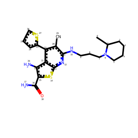 CC1CCCCN1CCCNc1nc2sc(C(N)=O)c(N)c2c(-c2cccs2)c1C#N